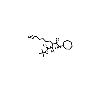 CC(C)(C)OC(=O)NC(CCCCCS)C(=O)NC1CCCCCC1